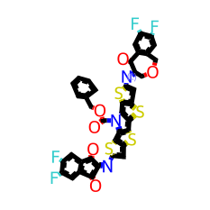 O=C1/C(=N/c2cc3sc4c5sc6cc(N=c7c(=O)c8cc(F)c(F)cc8c7=O)sc6c5n(C(=O)OCc5ccccc5)c4c3s2)COCc2cc(F)c(F)cc21